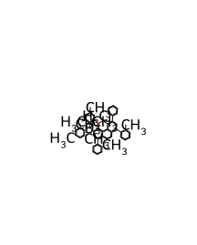 Cc1cc(C)c(B(c2cc(-c3ccccc3C)c3ccc4c(-c5ccccc5C)cc(-c5ccccc5C)c5c4c3c2CC5)c2c(C)cc(C)cc2C)c(C)c1